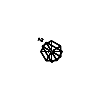 [Ag].[CH]12[CH]3[CH]4[CH]5[CH]1[Fe]23451678[CH]2[CH]1[CH]6[CH]7[CH]28